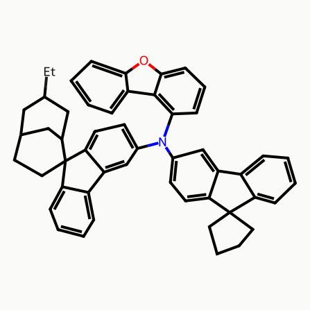 CCC1CC2CCC3(c4ccccc4-c4cc(N(c5ccc6c(c5)-c5ccccc5C65CCCC5)c5cccc6oc7ccccc7c56)ccc43)C(C1)C2